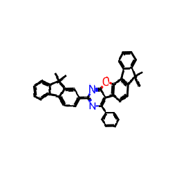 CC1(C)c2ccccc2-c2ccc(-c3nc(-c4ccccc4)c4c(n3)oc3c5c(ccc34)C(C)(C)c3ccccc3-5)cc21